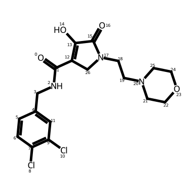 O=C(NCc1ccc(Cl)c(Cl)c1)C1=C(O)C(=O)N(CCN2CCOCC2)C1